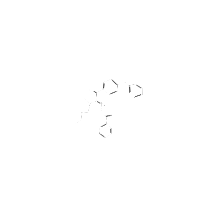 CCCCC(C)/C(=N\OC(=O)c1ccccc1)C(=O)c1ccc(Sc2ccccc2)cc1